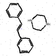 C(=C\c1ccccc1)/c1ccccc1.C1CNCCN1